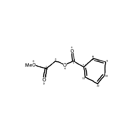 COC(=O)COC(=O)c1[c]cccc1